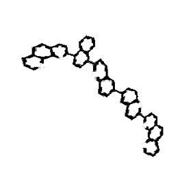 c1cnc2c(c1)ccc1ccc(-c3ccc4cc(-c5ccc6nc(-c7ccc(-c8ccc9ccc%10cccnc%10c9n8)c8ccccc78)ccc6c5)ccc4n3)nc12